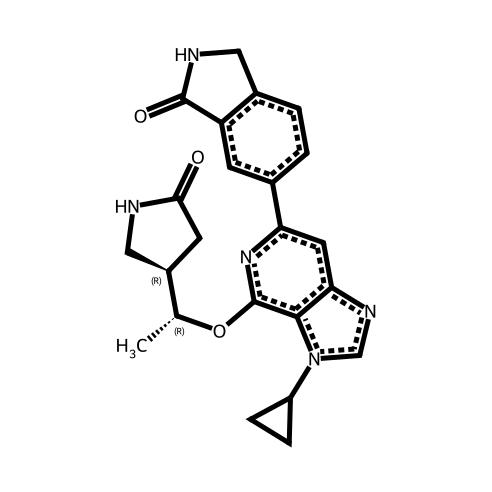 C[C@@H](Oc1nc(-c2ccc3c(c2)C(=O)NC3)cc2ncn(C3CC3)c12)[C@H]1CNC(=O)C1